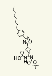 CCCCCCCCc1ccc(-c2noc(C3CN(/C(=N/C(=O)OC(C)(C)C)NC(=O)O)C3)n2)cc1